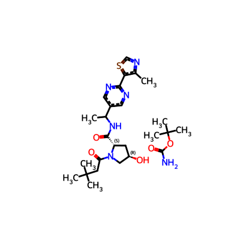 CC(C)(C)OC(N)=O.Cc1ncsc1-c1ncc(C(C)NC(=O)[C@@H]2C[C@@H](O)CN2C(=O)CC(C)(C)C)cn1